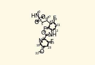 CNS(=O)(=O)C[C@@H](C)c1c(F)ccc(NC(=O)c2ncc(OC)cc2F)c1F